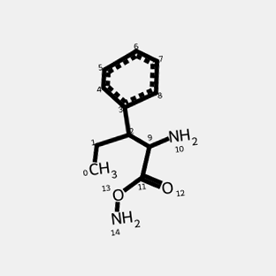 CCC(c1ccccc1)C(N)C(=O)ON